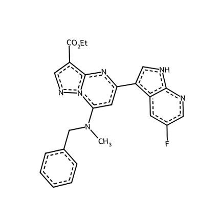 CCOC(=O)c1cnn2c(N(C)Cc3ccccc3)cc(-c3c[nH]c4ncc(F)cc34)nc12